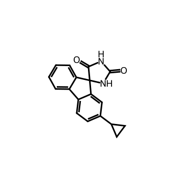 O=C1NC(=O)C2(N1)c1ccccc1-c1ccc(C3CC3)cc12